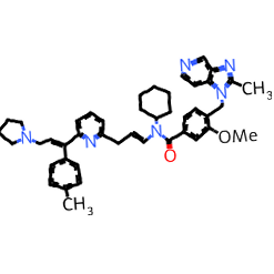 COc1cc(C(=O)N(C=CCc2cccc(C(=CCN3CCCC3)c3ccc(C)cc3)n2)C2CCCCC2)ccc1Cn1c(C)nc2cnccc21